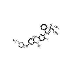 CCOc1cc(O[C@H]2CCN(C)C2)ccc1Nc1ncc(I)c(Nc2ccccc2S(=O)(=O)N(C)C)n1